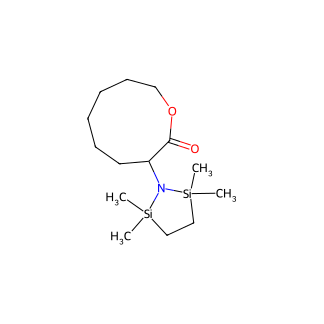 C[Si]1(C)CC[Si](C)(C)N1C1CCCCCCOC1=O